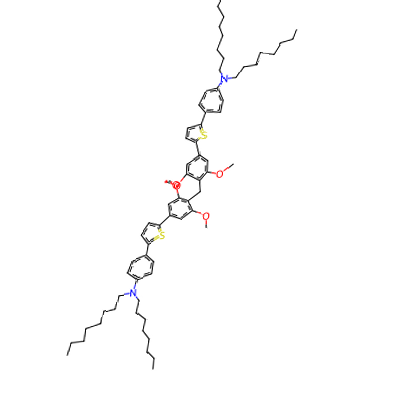 CCCCCCCCN(CCCCCCCC)c1ccc(-c2ccc(-c3cc(OC)c(Cc4c(OC)cc(-c5ccc(-c6ccc(N(CCCCCCCC)CCCCCCCC)cc6)s5)cc4OC)c(OC)c3)s2)cc1